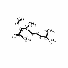 CC(=O)[C@H](CS)N(C)CSCC(C)C